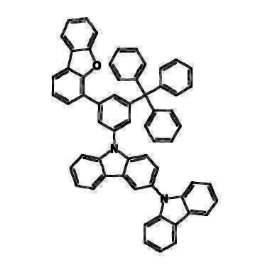 c1ccc(C(c2ccccc2)(c2ccccc2)c2cc(-c3cccc4c3oc3ccccc34)cc(-n3c4ccccc4c4cc(-n5c6ccccc6c6ccccc65)ccc43)c2)cc1